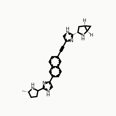 C[C@H]1CCC(c2nc(-c3ccc4cc(C#Cc5c[nH]c([C@@H]6C[C@H]7C[C@H]7N6)n5)ccc4c3)c[nH]2)N1